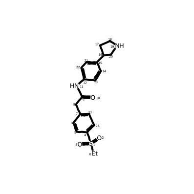 CCS(=O)(=O)c1ccc(CC(=O)Nc2ccc(C3CCNC3)cc2)cc1